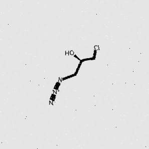 [N-]=[N+]=NC[C@@H](O)CCl